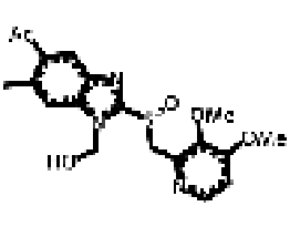 COc1ccnc(C[S+]([O-])c2nc3cc(C(C)=O)c(C)cc3n2CO)c1OC